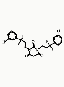 O=C1CC(=O)N(CCC(F)(F)c2cccc(Cl)c2)C(=O)N1CCC(F)(F)c1cccc(Cl)c1